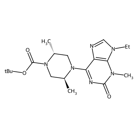 CCn1cnc2c(N3C[C@@H](C)N(C(=O)OC(C)(C)C)C[C@@H]3C)nc(=O)n(C)c21